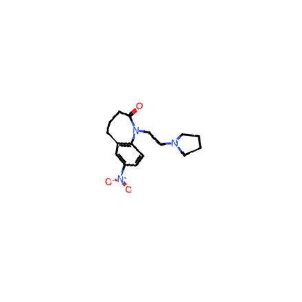 O=C1CCCc2cc([N+](=O)[O-])ccc2N1CCN1CCCC1